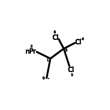 [CH2]C(CCC)C(Cl)(Cl)Cl